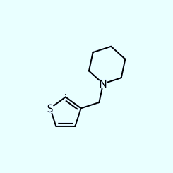 [c]1sccc1CN1CCCCC1